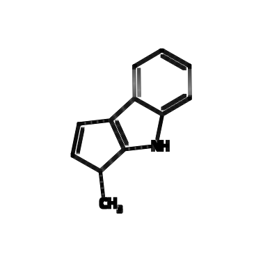 CC1C=Cc2c1[nH]c1ccccc21